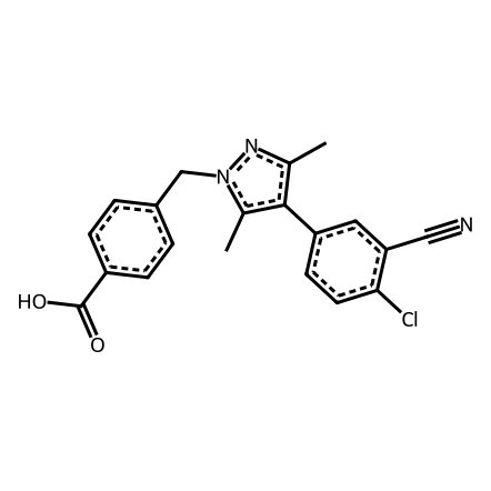 Cc1nn(Cc2ccc(C(=O)O)cc2)c(C)c1-c1ccc(Cl)c(C#N)c1